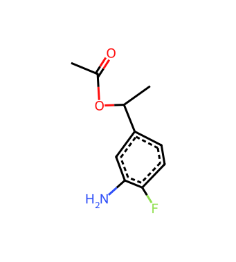 CC(=O)OC(C)c1ccc(F)c(N)c1